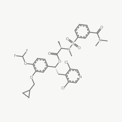 C[C@H](C(=O)O[C@H](Cc1c(Cl)cncc1Cl)c1ccc(OC(F)F)c(OCC2CC2)c1)N(C)S(=O)(=O)c1cccc(C(=O)N(C)C)c1